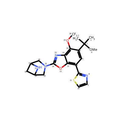 COC(C)(C)c1cc(-c2nccs2)c2oc(N3CC4CC(C3)N4)nc2c1OC(F)(F)F